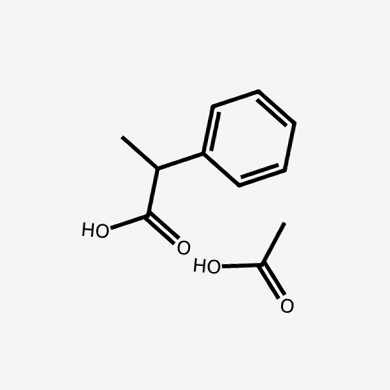 CC(=O)O.CC(C(=O)O)c1ccccc1